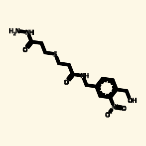 NNC(=O)CCSCCC(=O)NCc1ccc(CO)c([N+](=O)[O-])c1